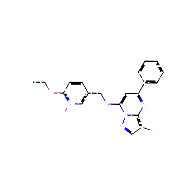 CCOc1ccc(CNc2cc(-c3ccccc3)nc3c(Br)cnn23)c[n+]1[O-]